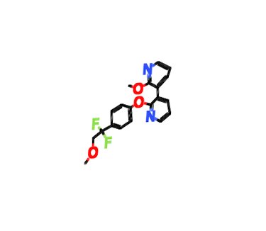 COCC(F)(F)c1ccc(Oc2ncccc2-c2cccnc2OC)cc1